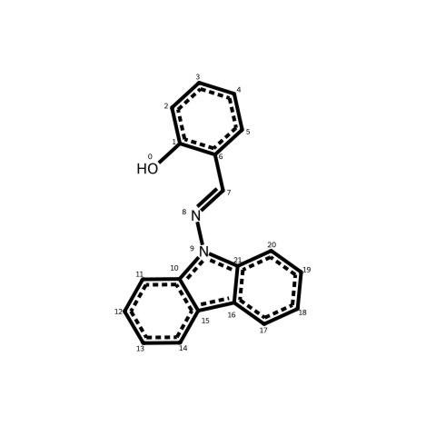 Oc1ccccc1C=Nn1c2ccccc2c2ccccc21